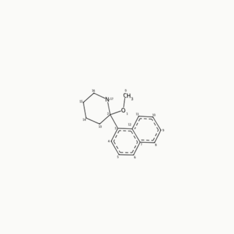 COC1(c2cccc3ccccc23)CCCC[N]1